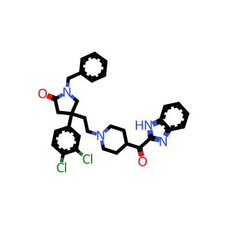 O=C(c1nc2ccccc2[nH]1)C1CCN(CCC2(c3ccc(Cl)c(Cl)c3)CC(=O)N(Cc3ccccc3)C2)CC1